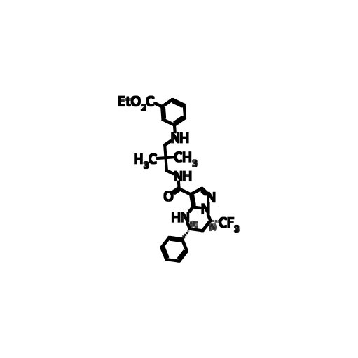 CCOC(=O)c1cccc(NCC(C)(C)CNC(=O)c2cnn3c2N[C@@H](c2ccccc2)C[C@H]3C(F)(F)F)c1